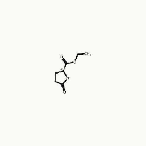 CCOC(=O)[C@@H]1CCC(=O)[N]1